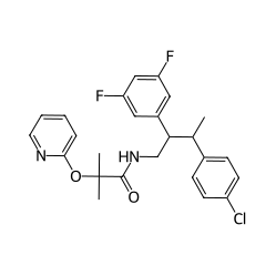 CC(c1ccc(Cl)cc1)C(CNC(=O)C(C)(C)Oc1ccccn1)c1cc(F)cc(F)c1